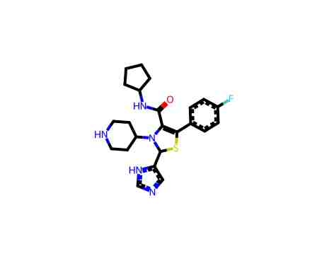 O=C(NC1CCCC1)C1=C(c2ccc(F)cc2)SC(c2cnc[nH]2)N1C1CCNCC1